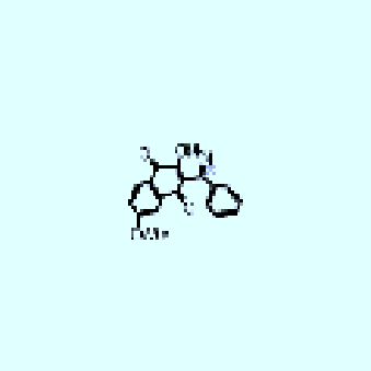 CC/N=C(\C1=C(O)C(=O)c2ccc(OC)cc2C1=O)c1ccccc1